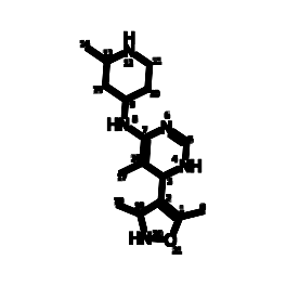 CC1=C(C2NC=NC(NC3CCNC(C)C3)=C2C)C(C)NO1